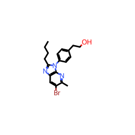 CCCCc1nc2cc(Br)c(C)nc2n1-c1ccc(CCO)cc1